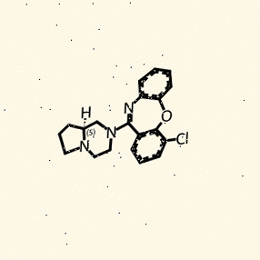 Clc1cccc2c1Oc1ccccc1N=C2N1CCN2CCC[C@H]2C1